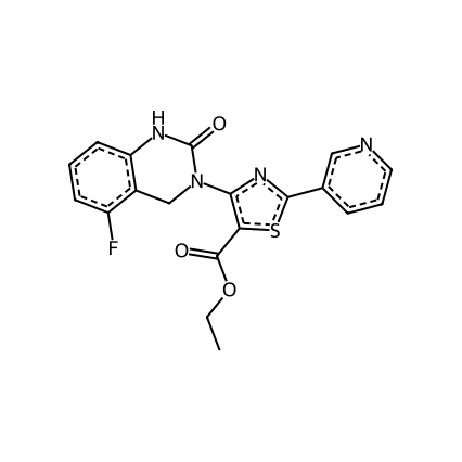 CCOC(=O)c1sc(-c2cccnc2)nc1N1Cc2c(F)cccc2NC1=O